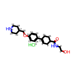 Cl.O=C(NCCO)C1CC=C(c2ccc(OCC3CCNCC3)cc2)CC1